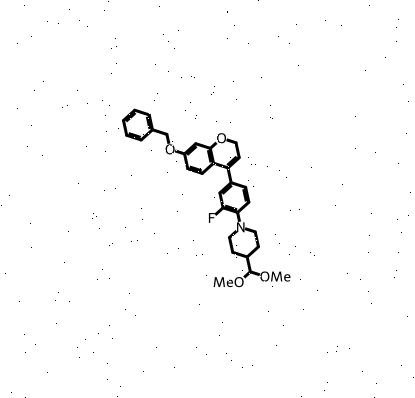 COC(OC)C1CCN(c2ccc(C3=CCOc4cc(OCc5ccccc5)ccc43)cc2F)CC1